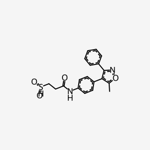 Cc1onc(-c2ccccc2)c1-c1ccc(NC(=O)CC[SH](=O)=O)cc1